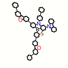 c1ccc(-c2ccc(N3c4cc(-c5ccc6c(c5)oc5ccc(-c7ccccc7)cc56)ccc4B4c5ccc(-c6ccc7c(c6)oc6ccc(-c8ccccc8)cc67)cc5Sc5cc(-n6c7ccccc7c7ccccc76)cc3c54)cc2)cc1